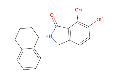 O=C1c2c(ccc(O)c2O)CN1[C@H]1CCCc2ccccc21